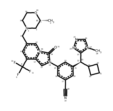 C[C@@H]1CN(Cc2cc(C(F)(F)F)c3cn(-c4cc(C#N)cc([C@@H](c5nncn5C)C5CCC5)c4)c(=O)n3c2)CCO1